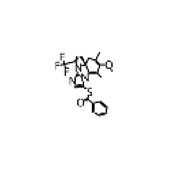 COC1=C(C)CC23C=CC=C(C(F)(F)F)N2c2ncc(SC(=O)c4ccccc4)n2C3=C1C